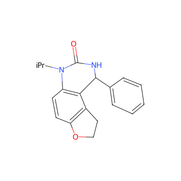 CC(C)N1C(=O)NC(c2ccccc2)c2c1ccc1c2CCO1